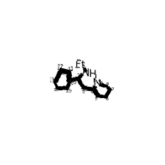 CCNC(Cc1ccccn1)c1ccccc1